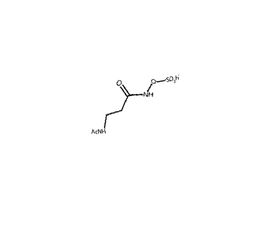 CC(=O)NCCC(=O)NOS(=O)(=O)O